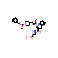 O=C(O)CCNC(=O)C1Cc2ccccc2N(C(=O)CCC2CCN(C(=O)OCc3ccccc3)CC2)C1